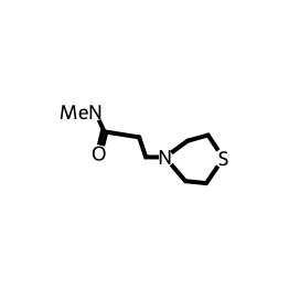 CNC(=O)CCN1CCSCC1